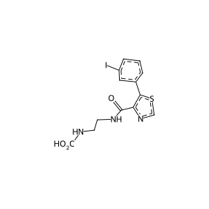 O=C(O)NCCNC(=O)c1ncsc1-c1cccc(I)c1